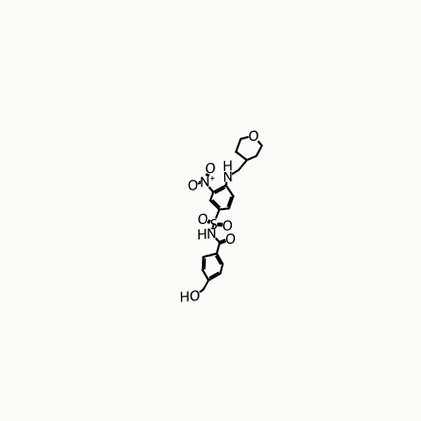 O=C(NS(=O)(=O)c1ccc(NCC2CCOCC2)c([N+](=O)[O-])c1)c1ccc(CO)cc1